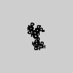 CCOc1cc2c(cc1OC)C(c1cc(OC)nnc1OC)=N[C@@H]1CC[C@@H](OC(=O)CC(O)(CC(=O)O)C(=O)O)C[C@H]21